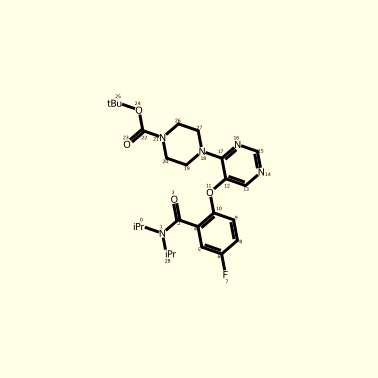 CC(C)N(C(=O)c1cc(F)ccc1Oc1cncnc1N1CCN(C(=O)OC(C)(C)C)CC1)C(C)C